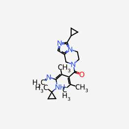 C=N/C(NC1(C)CC1)=C(\C)C(C(=O)N1CCn2c(cnc2C2CC2)C1)=C(C)C